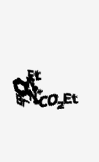 CCOC(=O)C[n+]1cn(CC)c2ccccc21.[Br-]